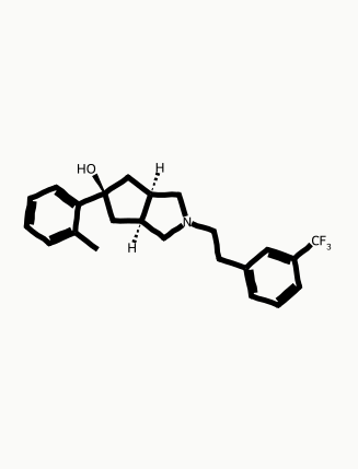 Cc1ccccc1[C@]1(O)C[C@H]2CN(CCc3cccc(C(F)(F)F)c3)C[C@H]2C1